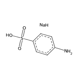 Nc1ccc(S(=O)(=O)O)cc1.[NaH]